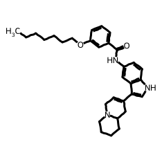 CCCCCCCOc1cccc(C(=O)Nc2ccc3[nH]cc(C4=CCN5CCCCC5C4)c3c2)c1